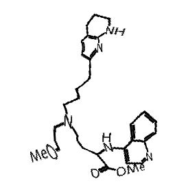 COCCN(CCCCc1ccc2c(n1)NCCC2)CCC(Nc1ccnc2ccccc12)C(=O)OC